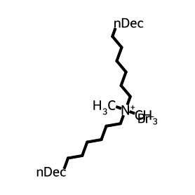 CCCCCCCCCCCCCCCC[N+](C)(C)CCCCCCCCCCCCCCCC.[Br-]